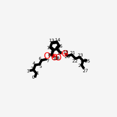 CCC(C)CCCCOC(=O)c1ccccc1C(=O)OCCCCC(C)CC